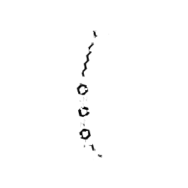 C=CC(=O)OCCCCCCCCCOc1ccc(N=Nc2ccc(N=Nc3ccc(N(CC)CCOC(=O)CC)cc3)cc2)cc1